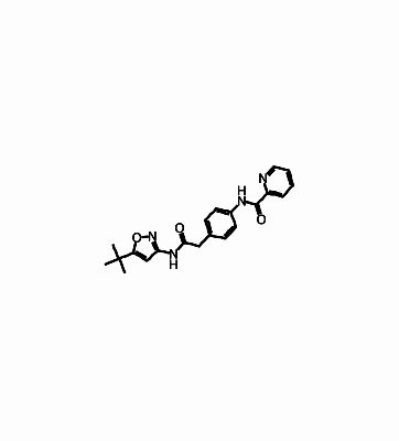 CC(C)(C)c1cc(NC(=O)Cc2ccc(NC(=O)c3ccccn3)cc2)no1